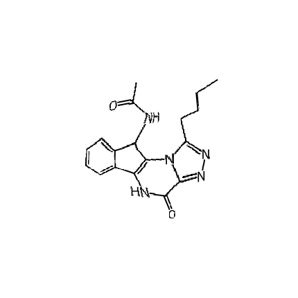 CCCCc1nnc2c(=O)[nH]c3c(n12)C(NC(C)=O)c1ccccc1-3